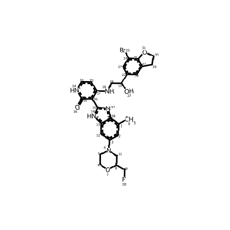 Cc1cc(N2CCOC(CF)C2)cc2[nH]c(-c3c(NCC(O)c4cc(Br)c5c(c4)CCO5)cc[nH]c3=O)nc12